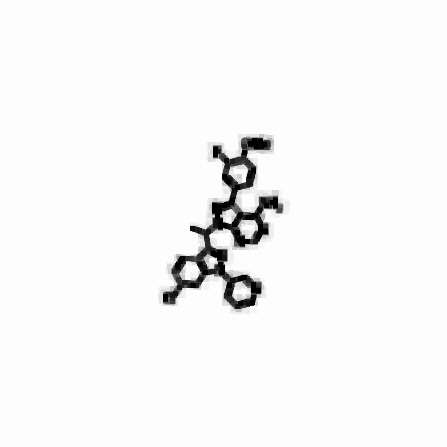 COc1ccc(-c2nn(C(C)c3nn(-c4cccnc4)c4cc(Cl)ccc34)c3ncnc(N)c23)cc1F